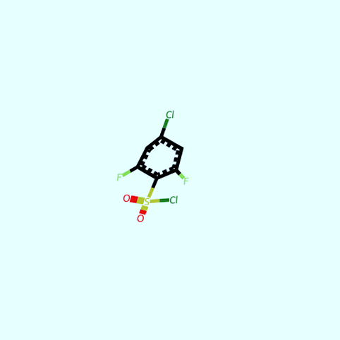 O=S(=O)(Cl)c1c(F)cc(Cl)cc1F